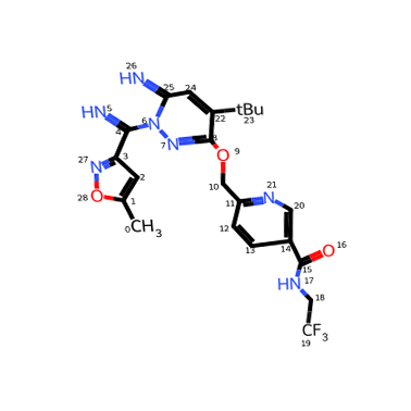 Cc1cc(C(=N)n2nc(OCc3ccc(C(=O)NCC(F)(F)F)cn3)c(C(C)(C)C)cc2=N)no1